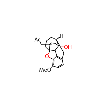 COc1ccc2c3c1OC14CCC[C@H](C2)[C@](O)(CC=C1CC(C)=O)C34